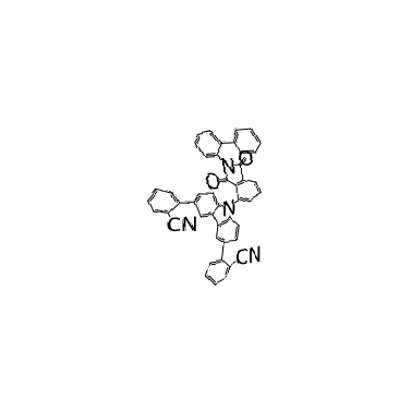 N#Cc1ccccc1-c1ccc2c(c1)c1cc(-c3ccccc3C#N)ccc1n2-c1cccc2c1C(=O)N(c1ccccc1-c1ccccc1)C2=O